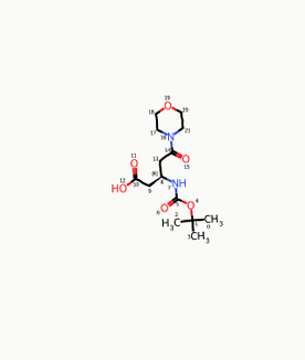 CC(C)(C)OC(=O)N[C@@H](CC(=O)O)CC(=O)N1CCOCC1